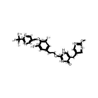 COc1ncc(Cc2c[nH]c(OCCc3cc(F)c(Oc4cnc(C(F)(F)F)nc4)c(F)c3)nc2=O)cn1